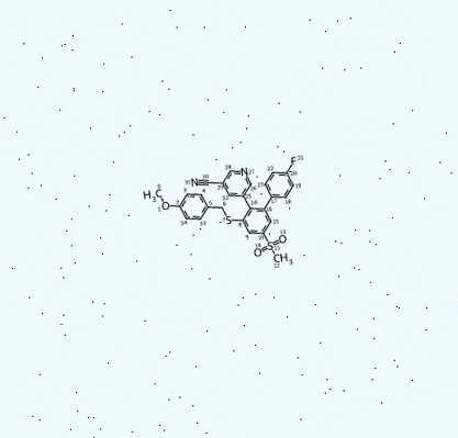 COc1ccc(CSc2cc(S(C)(=O)=O)cc(-c3ccc(F)cc3)c2-c2cncc(C#N)c2)cc1